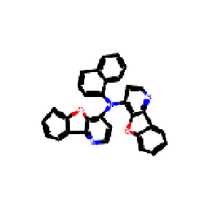 c1ccc2c(N(c3ccnc4c3oc3ccccc34)c3ccnc4c3oc3ccccc34)cccc2c1